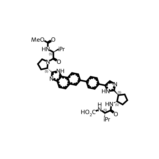 COC(=O)N[C@H](C(=O)N1CCC[C@H]1c1nc2ccc3cc(-c4ccc(-c5cnc([C@H]6CCC[C@@H]6NC(=O)[C@@H](NC(=O)O)C(C)C)[nH]5)cc4)ccc3c2[nH]1)C(C)C